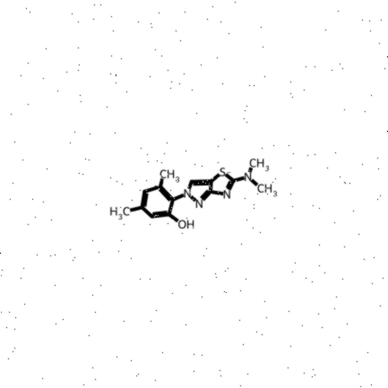 Cc1cc(C)c(-n2cc3sc(N(C)C)nc3n2)c(O)c1